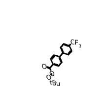 CC(C)(C)OOC(=O)c1ccc(-c2ccc(C(F)(F)F)cc2)cc1